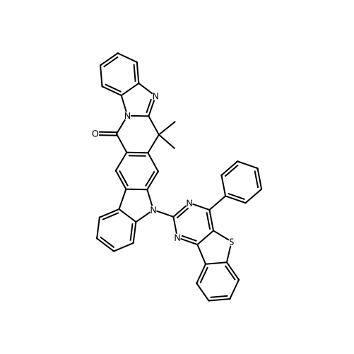 CC1(C)c2cc3c(cc2C(=O)n2c1nc1ccccc12)c1ccccc1n3-c1nc(-c2ccccc2)c2sc3ccccc3c2n1